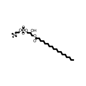 CCCCCCCCCCCCCCCCCC(=O)OC[C@@H](O)COP(=O)([O-])OCC[N+](C)(C)C